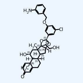 C[C@]12C=CC(=O)C=C1CC[C@@H]1[C@@H]2[C@@H](O)C[C@@]2(C)[C@H]1C[C@H]1O[C@H](c3cc(Cl)cc(OCc4cccc(N)c4)c3)O[C@]12C(=O)CO